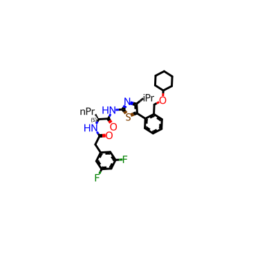 CCC[C@H](NC(=O)Cc1cc(F)cc(F)c1)C(=O)Nc1nc(C(C)C)c(-c2ccccc2COC2CCCCC2)s1